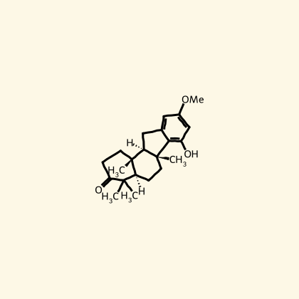 COc1cc(O)c2c(c1)C[C@@H]1[C@@]3(C)CCC(=O)C(C)(C)[C@@H]3CC[C@@]21C